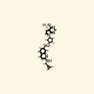 Nc1ncnc2c1ccn2[C@H]1CC[C@@H](OCc2ccc3ccc(NCC4CC4)nc3c2)C1